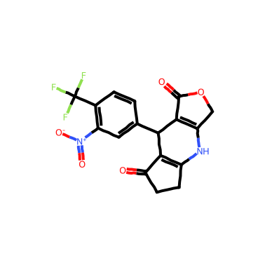 O=C1CCC2=C1C(c1ccc(C(F)(F)F)c([N+](=O)[O-])c1)C1=C(COC1=O)N2